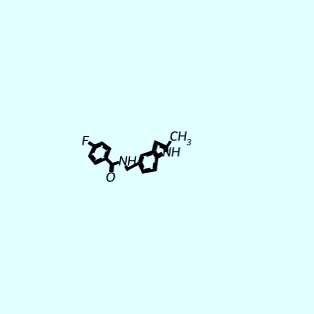 Cc1cc2cc(CNC(=O)c3ccc(F)cc3)ccc2[nH]1